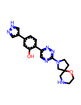 Oc1cc(-c2cn[nH]c2)ccc1-c1cnc(N2CCC3(CNCCO3)C2)nn1